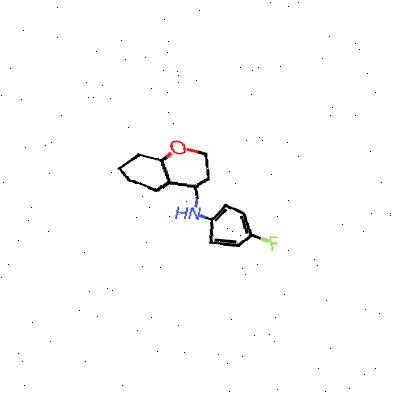 Fc1ccc(NC2CCOC3CCCCC23)cc1